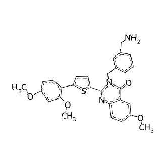 COc1ccc(-c2ccc(-c3nc4ccc(OC)cc4c(=O)n3Cc3cccc(CN)c3)s2)c(OC)c1